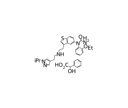 CCOc1ccccc1N(C(N)=O)c1ccc2scc(CCNCCc3cnn(C(C)C)c3)c2c1.O=C(O)C(O)c1ccccc1